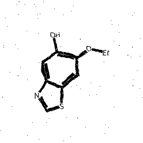 CCOc1cc2scnc2cc1O